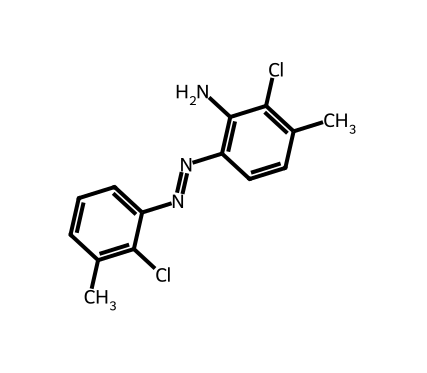 Cc1cccc(/N=N/c2ccc(C)c(Cl)c2N)c1Cl